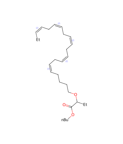 CC/C=C\C/C=C\C/C=C\C/C=C\C/C=C\CCCCOC(CC)C(=O)OCCCC